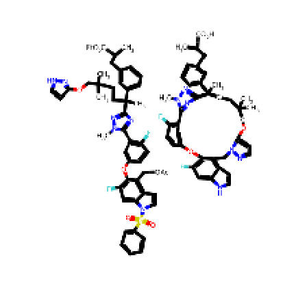 CC(Cc1cccc(C2(C)CCC(C)(C)COc3ccnn3Cc3c(c(F)cc4[nH]ccc34)Oc3ccc(F)c(c3)-c3nc2nn3C)c1)C(=O)O.CCOC(=O)C(C)Cc1cccc(C(C)(CCC(C)(C)COc2cc[nH]n2)c2nc(-c3cc(Oc4c(F)cc5c(ccn5S(=O)(=O)c5ccccc5)c4COC(C)=O)ccc3F)n(C)n2)c1